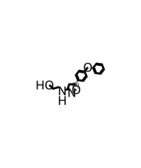 OCCNC1=NO[C@@H](c2ccc(Oc3ccccc3)cc2)C1